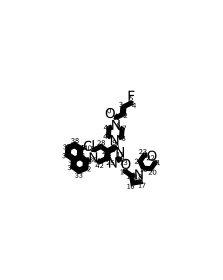 O=C(/C=C/CF)N1CCN(c2nc(OCC3CCN3C3CCOCC3)nc3c2CCN(c2cccc4cccc(Cl)c24)C3)CC1